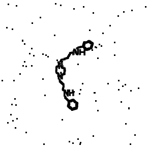 c1ccc(CNCCCN2CCN(CCCNCc3ccccc3)CC2)cc1